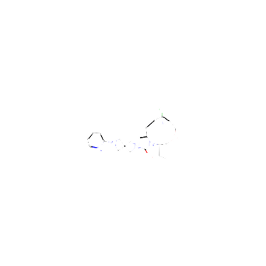 C=C1/C=C\C(Cl)=C/COCC(CC)N1C(=O)N1CC2(C1)CN(c1ccccn1)C2